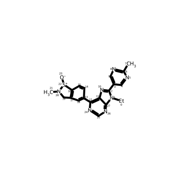 CCn1c(-c2cnc(C)nc2)nc2c(-c3ccc4c(c3)CN(C)[S+]4[O-])ncnc21